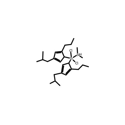 CCCC1=CC(CC(C)C)=C[CH]1[Zr]([Cl])([Cl])([CH]1C=C(CC(C)C)C=C1CCC)[SiH](C)C